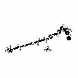 NC(=O)c1c(-c2ccc(Oc3ccccc3)cc2)nn2c1NCC[C@H]2C1CCN(C(=O)C=CCN2CCN(CCNC(=O)CCCC(=O)NCCCOCCOCCOCCCNC(=O)CCCC[C@H]3SC[C@H]4NC(=O)N[C@H]43)CC2)CC1.O=C(O)C(F)(F)F